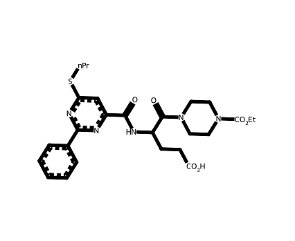 CCCSc1cc(C(=O)NC(CCC(=O)O)C(=O)N2CCN(C(=O)OCC)CC2)nc(-c2ccccc2)n1